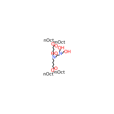 CCCCCCCCC(CCCCCCCC)OC(=O)CCCCCN(CCCCCC(=O)OC(CCCCCCCC)CCCCCCCC)C[C@H](O)CN(CCO)CCO